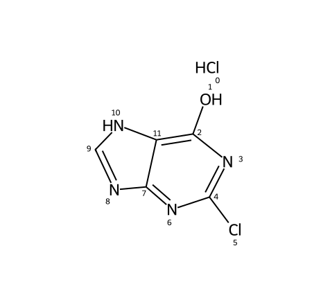 Cl.Oc1nc(Cl)nc2nc[nH]c12